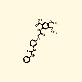 COc1cc(NC(=O)COc2cccc(NC(=O)Nc3ccccc3)c2)c(C(N)=O)cc1OC